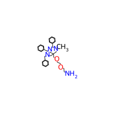 CN1CC2(COCCOCCN)CN(Cc3ccccc3)C(c3ccccc3)N(C2)C1c1ccccc1